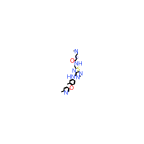 Cc1ccc(Oc2ccc(Nc3ncnc4sc(CNC(=O)/C=C/CN(C)C)nc34)cc2C)cn1